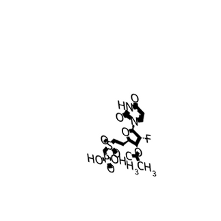 CC(C)O[C@H]1[C@@H](F)[C@H](n2ccc(=O)[nH]c2=O)O[C@@H]1CCS(=O)(=O)CP(=O)(O)O